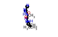 C[C@@H](NC(=O)c1cc(-c2ccncc2)ncn1)c1cc(-c2nc3ccc(C(C)(C)C)cc3[nH]2)no1